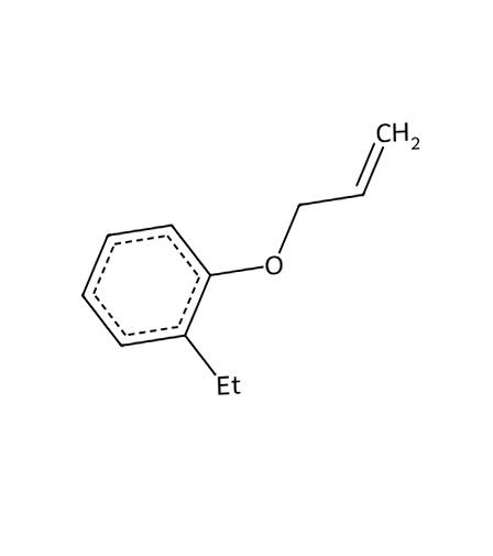 [CH2]Cc1ccccc1OCC=C